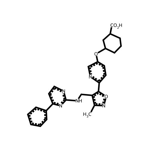 Cc1noc(-c2ccc(OC3CCCC(C(=O)O)C3)cn2)c1CNc1nccc(-c2ccccc2)n1